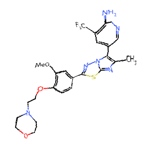 COc1cc(-c2nn3c(-c4cnc(N)c(C(F)(F)F)c4)c(C)nc3s2)ccc1OCCN1CCOCC1